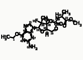 CCOc1nc(N)nc2c1ncn2[C@@H]1O[C@@H]2CO[P@](=O)(N[C@@H](C)C(=O)OC)O[C@H]2[C@@]1(C)F